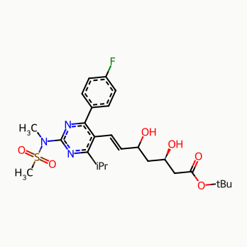 CC(C)c1nc(N(C)S(C)(=O)=O)nc(-c2ccc(F)cc2)c1/C=C/C(O)C[C@@H](O)CC(=O)OC(C)(C)C